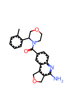 Cc1ccccc1C1COCCN1C(=O)c1ccc2nc(N)c3c(c2c1)COC3